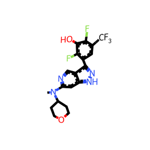 CN(c1cc2[nH]nc(-c3cc(C(F)(F)F)c(F)c(O)c3F)c2cn1)C1CCOCC1